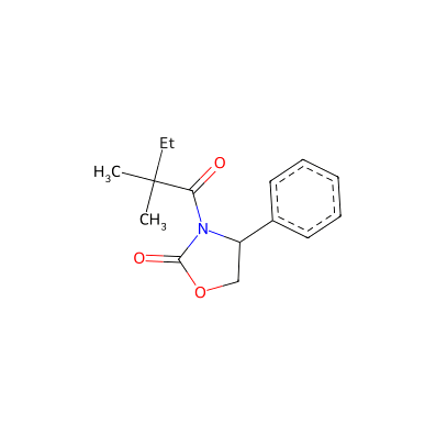 CCC(C)(C)C(=O)N1C(=O)OCC1c1ccccc1